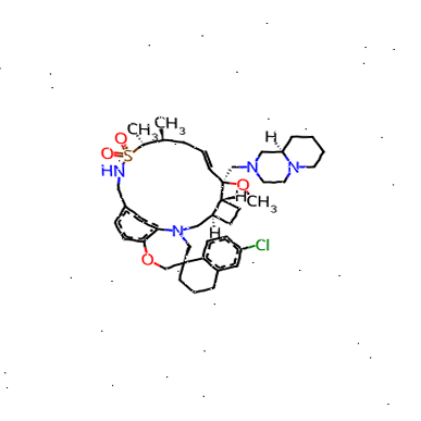 CO[C@]1(CN2CCN3CCCC[C@@H]3C2)/C=C/C[C@H](C)[C@@H](C)S(=O)(=O)NCc2ccc3c(c2)N(C[C@@H]2CC[C@H]21)C[C@@]1(CCCc2cc(Cl)ccc21)CO3